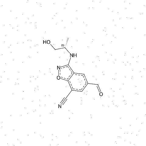 C[C@@H](CO)Nc1noc2c(C#N)cc(C=O)cc12